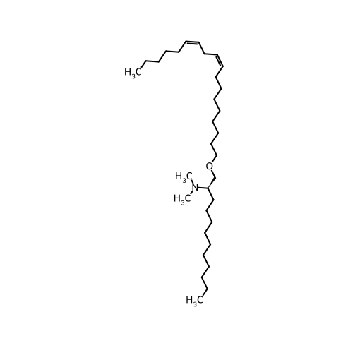 CCCCC/C=C\C/C=C\CCCCCCCCOC[C@@H](CCCCCCCCCC)N(C)C